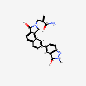 C=C(CN1Cc2c(ccc3ccc(-c4ccc5[nH]n(C)c(=O)c5c4)cc23)C1=O)C(N)=O